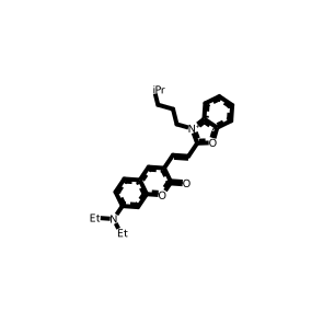 CCN(CC)c1ccc2cc(/C=C/c3oc4ccccc4[n+]3CCCC(C)C)c(=O)oc2c1